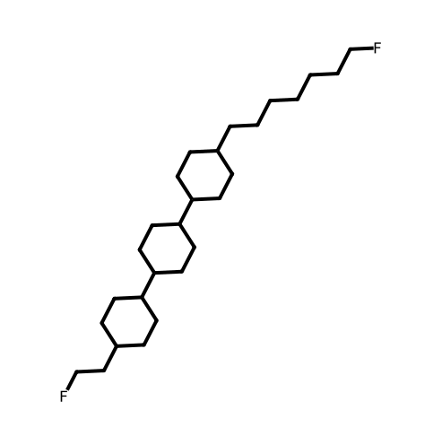 FCCCCCCCC1CCC(C2CCC(C3CCC(CCF)CC3)CC2)CC1